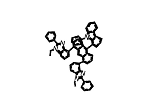 CCn1c(-c2ccccc2)nc2c(-c3cccc4c(-c5cccc6c7ccccc7n(-c7ccccc7)c56)c5cccc(-c6cccc7c6nc(-c6ccccc6)n7CC)c5cc34)cccc21